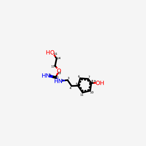 N=C(NCCc1ccc(O)cc1)OCCO